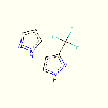 FC(F)(F)c1cc[nH]n1.c1cn[nH]c1